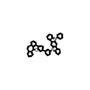 O=c1c2ccccc2ccc2cccc(-c3ccc(-c4cccc(-n5c6ccccc6c6cc7c(cc65)c5ccccc5n7-c5ccccc5)c4)cc3)c12